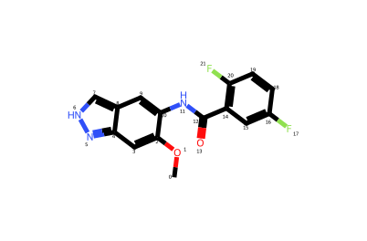 COc1cc2n[nH]cc2cc1NC(=O)c1cc(F)ccc1F